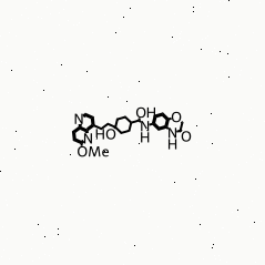 COc1ccc2nccc(CCC3(O)CCC(C(O)Nc4ccc5c(c4)NC(=O)CO5)CC3)c2n1